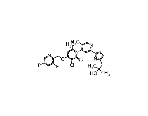 Cc1cnc(-n2ccc(CC(C)(C)O)n2)cc1-n1c(C)cc(OCc2ncc(F)cc2F)c(Cl)c1=O